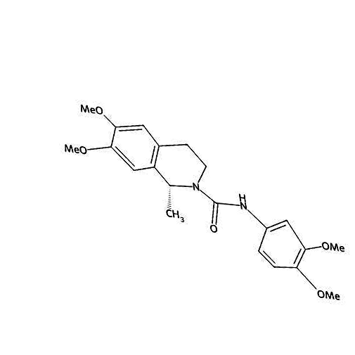 COc1ccc(NC(=O)N2CCc3cc(OC)c(OC)cc3[C@H]2C)cc1OC